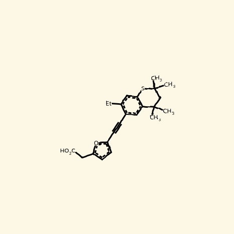 CCc1cc2c(cc1C#Cc1ccc(CC(=O)O)o1)C(C)(C)CC(C)(C)S2